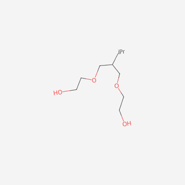 CC(C)C(COCCO)COCCO